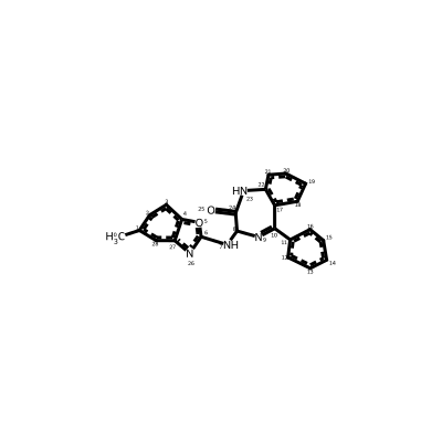 Cc1ccc2oc(NC3N=C(c4ccccc4)c4ccccc4NC3=O)nc2c1